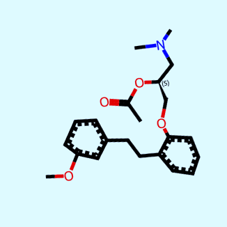 COc1cccc(CCc2ccccc2OC[C@H](CN(C)C)OC(C)=O)c1